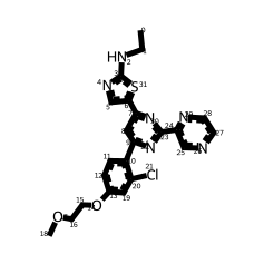 CCNc1ncc(-c2cc(-c3ccc(OCCOC)cc3Cl)nc(-c3cnccn3)n2)s1